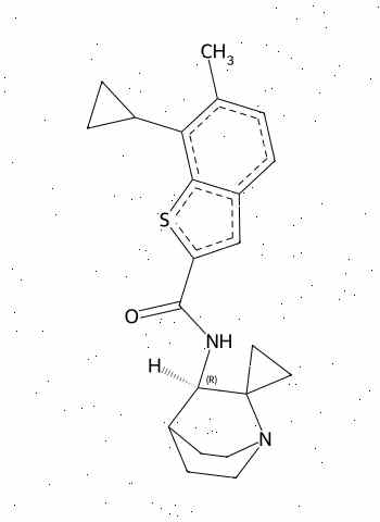 Cc1ccc2cc(C(=O)N[C@@H]3C4CCN(CC4)C34CC4)sc2c1C1CC1